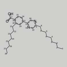 CCCCCCCCCc1cnc(-c2ccc(C(=O)O)c(CCCCCCCC)c2)cn1